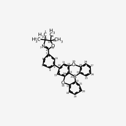 CC1(C)N=C(c2cccc(-c3cc4c5c(c3)Oc3ccccc3B5c3ccccc3O4)c2)OC1(C)C